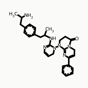 CC(N)Cc1ccc(CC(C)NC2=NC=CCN2N2CCC(=O)N3CC=C(c4ccccc4)N=C32)cc1